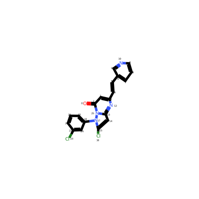 O=c1cc(/C=C/c2cccnc2)nc2cc(Cl)n(-c3cccc(Cl)c3)n12